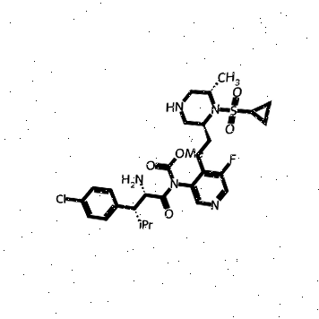 COC(=O)N(C(=O)[C@@H](N)[C@@H](c1ccc(Cl)cc1)C(C)C)c1cncc(F)c1CC[C@H]1CNC[C@H](C)N1S(=O)(=O)C1CC1